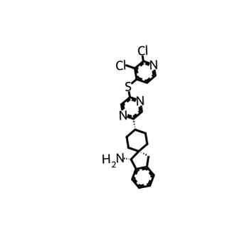 N[C@H]1c2ccccc2C[C@]12CC[C@@H](c1cnc(Sc3ccnc(Cl)c3Cl)cn1)CC2